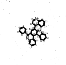 c1ccc(-c2nc3ccccc3c3c2cc(-c2ccnc4ccccc24)c2sc4ccccc4c23)cc1